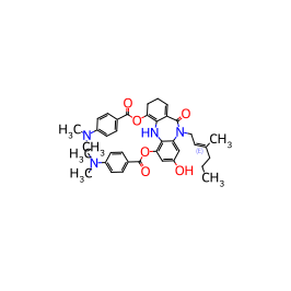 CCC/C(C)=C/CN1C(=O)C2=CCCC(OC(=O)c3ccc(N(C)C)cc3)=C2Nc2c(OC(=O)c3ccc(N(C)C)cc3)cc(O)cc21